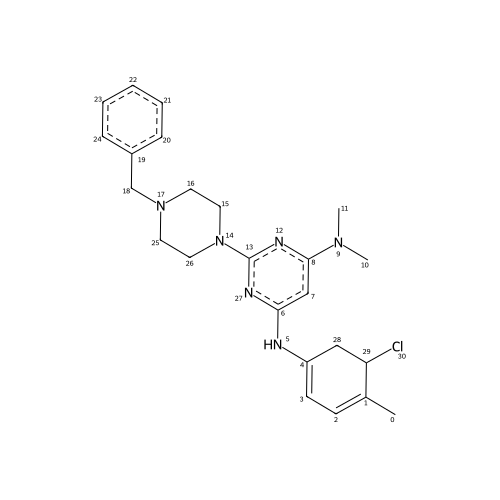 CC1=CC=C(Nc2cc(N(C)C)nc(N3CCN(Cc4ccccc4)CC3)n2)CC1Cl